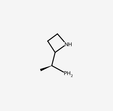 C[C@H](P)C1CCN1